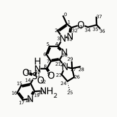 Cc1cn(-c2ccc(C(=O)NS(=O)(=O)c3cccnc3N)c(N3C[C@@H](C)CC3(C)C)n2)nc1OCC(C)C